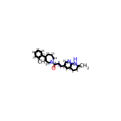 C=C1CCc2cc(/C=C/C(=O)N3CC=C(c4ccccc4C)CCC3)cnc2N1